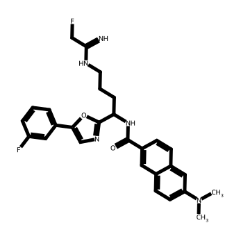 CN(C)c1ccc2cc(C(=O)NC(CCCNC(=N)CF)c3ncc(-c4cccc(F)c4)o3)ccc2c1